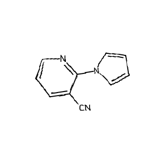 N#Cc1cccnc1-n1cccc1